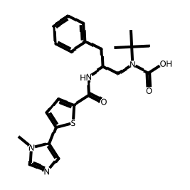 Cn1cncc1-c1ccc(C(=O)NC(Cc2ccccc2)CN(C(=O)O)C(C)(C)C)s1